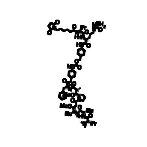 CC[C@@H](C)[C@H](NC(=O)[C@H](C(C)C)N(C)C)C(=O)N(C)[C@@H]([C@@H](C)CC)[C@@H](CC(=O)N1CCC[C@H]1[C@H](OC)[C@@H](C)C(=O)N[C@@H](Cc1ccccc1)C(=O)Cc1ccc(NC(=O)OCc2ccc(NC(=O)[C@H](CCCNC(N)=O)NC(=O)[C@@H](NC(=O)CCCCCN3C(=O)C=CC3=O)C(C)C)cc2)cc1)OC